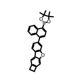 CC1(C)OB(c2ccc(-c3ccc4c(c3)oc3cc5c(cc34)CC5)c3ccccc23)OC1(C)C